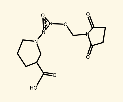 O=C(O)C1CCCN(n2on2OCN2C(=O)CCC2=O)C1